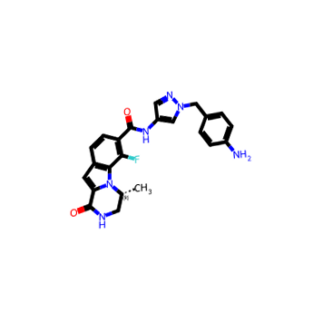 C[C@@H]1CNC(=O)c2cc3ccc(C(=O)Nc4cnn(Cc5ccc(N)cc5)c4)c(F)c3n21